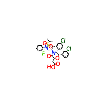 CC(C)[C@@H](CN(c1ccccc1F)S(=O)(=O)C(C)C)N1C(=O)[C@H](CC(=O)O)O[C@H](c2cccc(Cl)c2)[C@H]1c1ccc(Cl)cc1